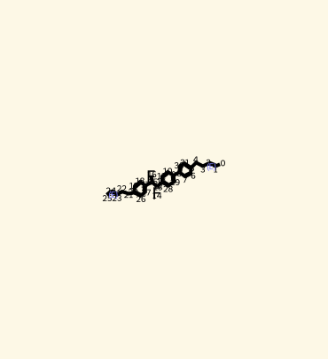 C/C=C/CCc1ccc(-c2ccc(C(F)C(F)c3ccc(CC/C=C/C)cc3)cc2)cc1